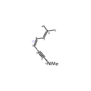 CNC#C/C=C\C=C(C)C